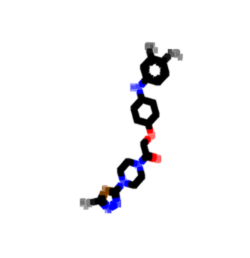 O=C(COC1CCC(Nc2ccc([N+](=O)[O-])c(C(F)(F)F)c2)CC1)N1CCN(c2nnc(C(F)(F)F)s2)CC1